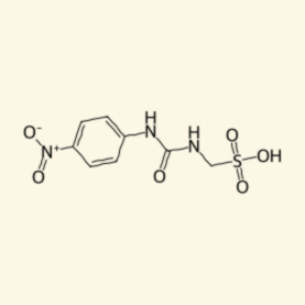 O=C(NCS(=O)(=O)O)Nc1ccc([N+](=O)[O-])cc1